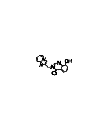 O=c1c2cccc(O)c2ncn1Cc1cn2ccccc2n1